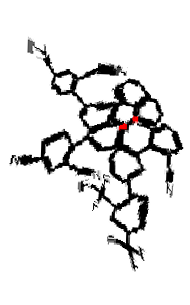 N#Cc1ccc(-c2ccc3c(c2)c2ccccc2n3-c2ccc(-c3ccc(C(F)(F)F)cc3C(F)(F)F)cc2-c2c(C#N)cccc2-n2c3ccccc3c3cc(-c4ccc(C#N)cc4C#N)ccc32)c(C#N)c1